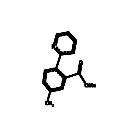 COC(=O)c1cc(C)ccc1-c1ccccn1